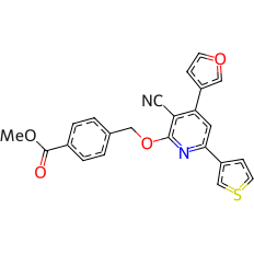 COC(=O)c1ccc(COc2nc(-c3ccsc3)cc(-c3ccoc3)c2C#N)cc1